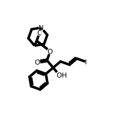 O=C(OC1CN2CCC1CC2)C(O)(C/C=C/I)c1ccccc1